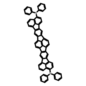 c1ccc(N(c2ccccc2)c2ccc3c4cc5c(cc4c4cccc2c43)c2ccc3c4cc6c(cc4c4ccc5c2c34)c2ccc(N(c3ccccc3)c3ccccc3)c3cccc6c32)cc1